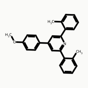 COc1ccc(-c2cc(-c3ccccc3C)nc(-c3ccccc3C)c2)cc1